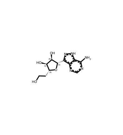 Nc1ncnc2c([C@@H]3O[C@H](CCO)[C@@H](O)[C@H]3O)n[nH]c12